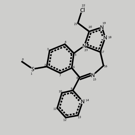 CSc1ccc2c(c1)C(c1ccccn1)=NCc1nnc(CCl)n1-2